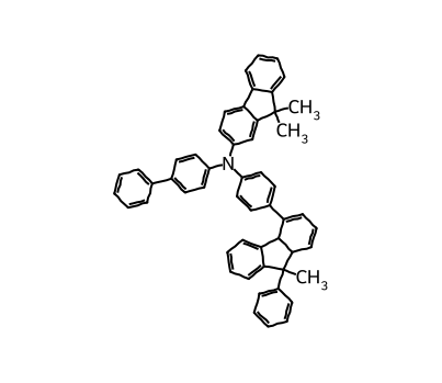 CC1(C)c2ccccc2-c2ccc(N(c3ccc(C4=CC=CC5C4c4ccccc4C5(C)c4ccccc4)cc3)c3ccc(-c4ccccc4)cc3)cc21